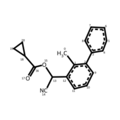 Cc1c(-c2ccccc2)cccc1C(C#N)OC(=O)C1CC1